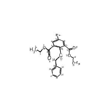 CCOC(=O)c1cc(F)cc(C(=O)OCC)c1OCc1ccccc1